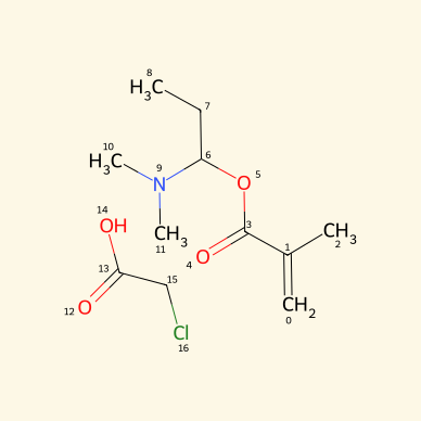 C=C(C)C(=O)OC(CC)N(C)C.O=C(O)CCl